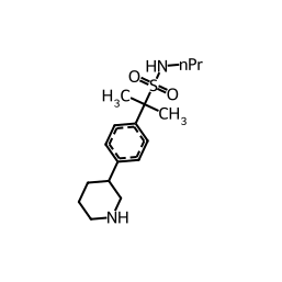 CCCNS(=O)(=O)C(C)(C)c1ccc(C2CCCNC2)cc1